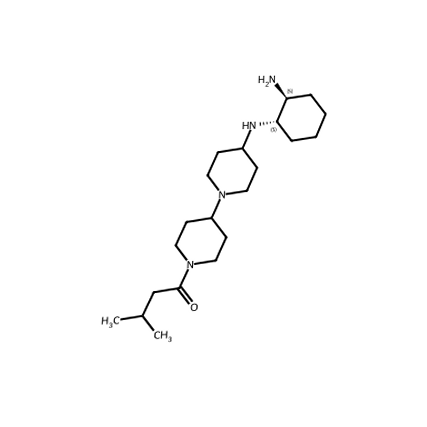 CC(C)CC(=O)N1CCC(N2CCC(N[C@H]3CCCC[C@@H]3N)CC2)CC1